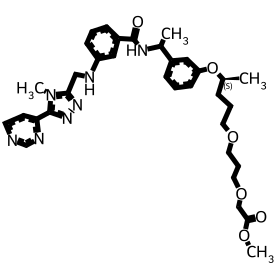 COC(=O)COCCCOCCC[C@H](C)Oc1cccc(C(C)NC(=O)c2cccc(NCc3nnc(-c4ccncn4)n3C)c2)c1